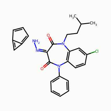 CC(C)CCn1c(=O)c(=NN)c(=O)n(-c2ccccc2)c2ccc(Cl)cc21.c1cc2cc-2c1